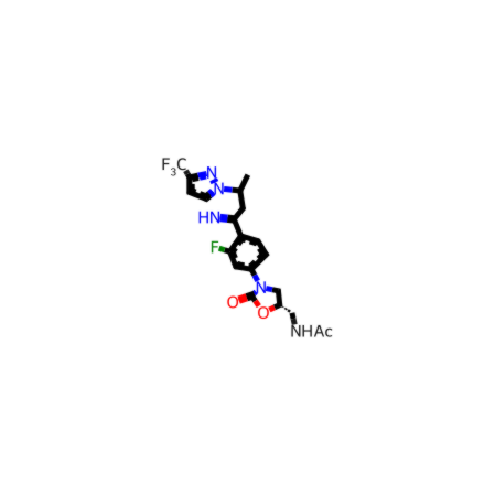 CC(=O)NC[C@H]1CN(c2ccc(C(=N)CC(C)n3ccc(C(F)(F)F)n3)c(F)c2)C(=O)O1